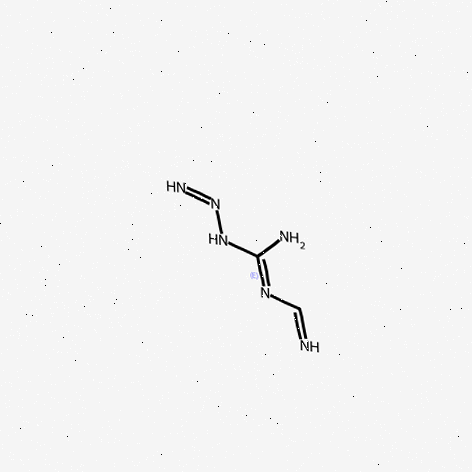 N=C/N=C(\N)NN=N